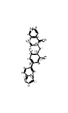 O=c1c2ccncc2ncn1Cc1c(F)cc(-c2ccc3nccn3c2)cc1F